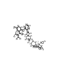 COCC1(COC)C[C@]2(CC[C@@H](CN3CCC4(CC3)CN(c3ncnnc3Oc3ccc(F)cc3C(=O)N(C(C)C)C(C)C)C4)CC2)NC1=O